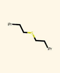 CC(C)CCSCCC(C)C